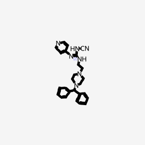 N#CN/C(=N\c1ccncc1)NCCN1CCN(C(c2ccccc2)c2ccccc2)CC1